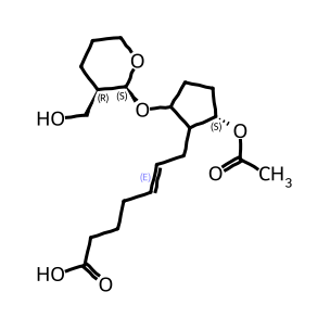 CC(=O)O[C@H]1CCC(O[C@@H]2OCCC[C@@H]2CO)C1C/C=C/CCCC(=O)O